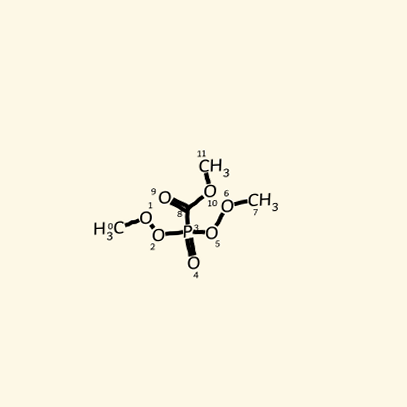 COOP(=O)(OOC)C(=O)OC